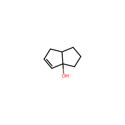 OC12C=CCC1CCC2